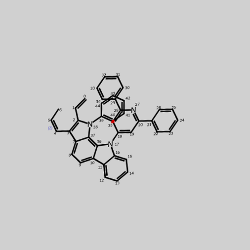 C=Cc1c(/C=C\C)c2ccc3c4ccccc4n(-c4cc(-c5ccccc5)nc(-c5ccccc5)c4)c3c2n1-c1ccccc1